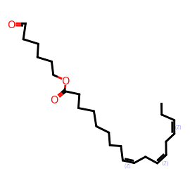 CC/C=C\C/C=C\C/C=C\CCCCCCCC(=O)OCCCCCC=O